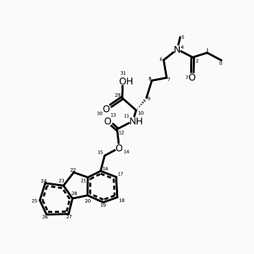 CCC(=O)N(C)CCCC[C@H](NC(=O)OCc1cccc2c1Cc1ccccc1-2)C(=O)O